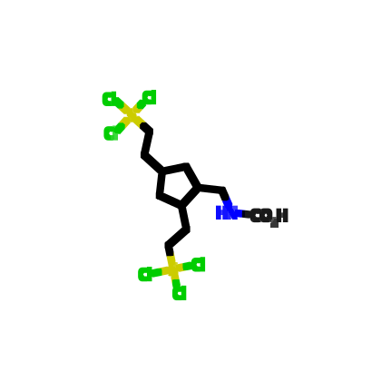 O=C(O)NCC1CC(CCS(Cl)(Cl)Cl)CC1CCS(Cl)(Cl)Cl